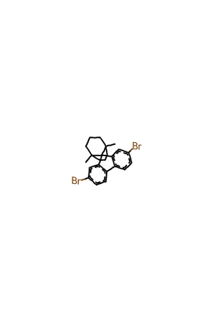 CC12CCCC(C)(CCC1)C21c2cc(Br)ccc2-c2ccc(Br)cc21